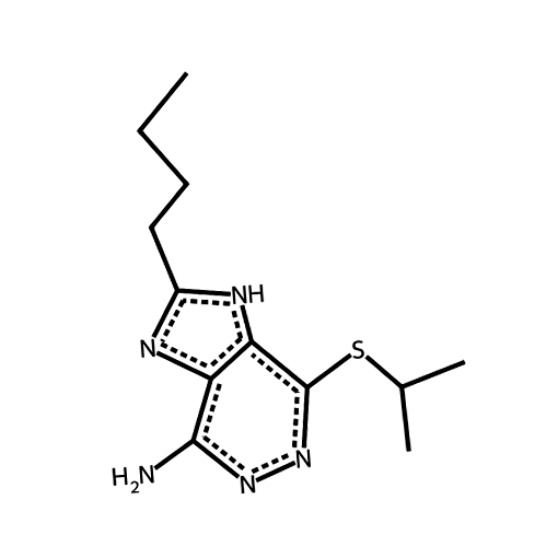 CCCCc1nc2c(N)nnc(SC(C)C)c2[nH]1